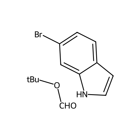 Brc1ccc2cc[nH]c2c1.CC(C)(C)OC=O